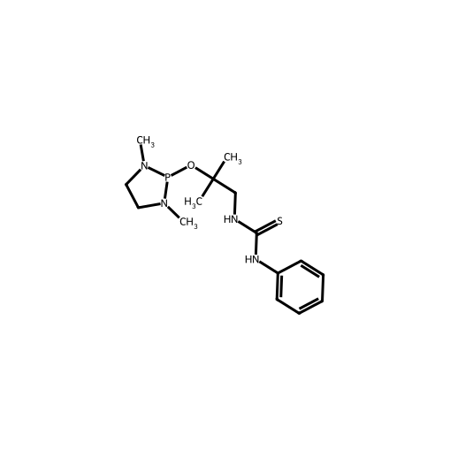 CN1CCN(C)P1OC(C)(C)CNC(=S)Nc1ccccc1